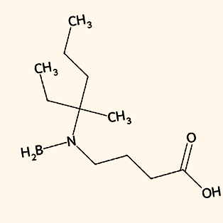 BN(CCCC(=O)O)C(C)(CC)CCC